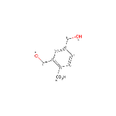 [O]Cc1cc(CO)ccc1C(=O)O